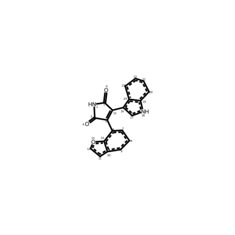 O=C1NC(=O)C(c2cccc3ccoc23)=C1c1c[nH]c2ccccc12